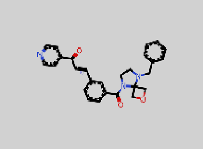 O=C(/C=C/c1cccc(C(=O)N2CCN(Cc3ccccc3)C23COC3)c1)c1ccncc1